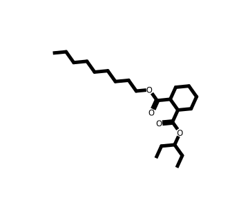 CCCCCCCCCOC(=O)C1CCCCC1C(=O)OC(CC)CC